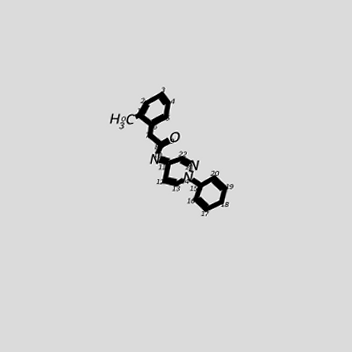 Cc1ccccc1CC(=O)N=c1ccn(C2C=CCC=C2)nc1